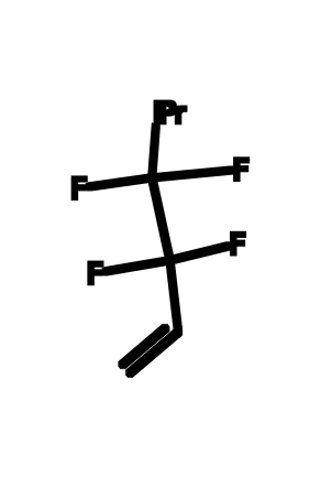 C=CC(F)(F)C(F)(F)C(C)C